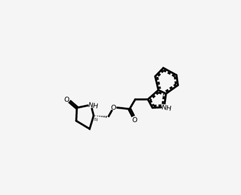 O=C1CC[C@@H](COC(=O)Cc2c[nH]c3ccccc23)N1